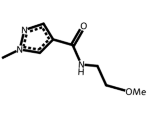 COCCNC(=O)c1cnn(C)c1